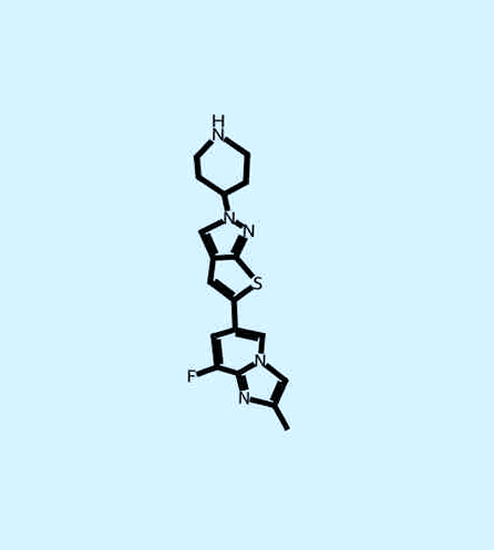 Cc1cn2cc(-c3cc4cn(C5CCNCC5)nc4s3)cc(F)c2n1